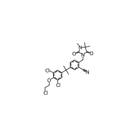 CN1C(=O)N(Cc2ccc(C(C)(C)c3cc(Cl)c(OCCCl)c(Cl)c3)cc2C#N)C(=O)C1(C)C